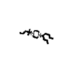 C=C/C=C\C(=C/C=C)N1CCN(C(C)(C)CCC)CC1